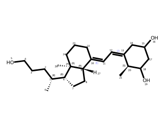 C[C@H](CCCO)[C@H]1CC[C@H]2/C(=C/C=C3/CC(O)CC(O)[C@H]3C)CCC[C@]12C